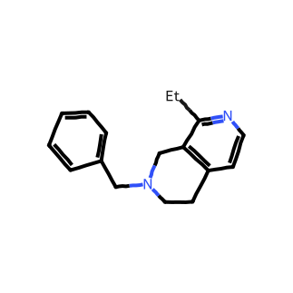 CCc1nccc2c1CN(Cc1ccccc1)CC2